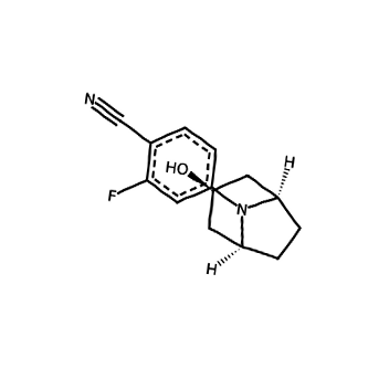 N#Cc1ccc(N2[C@@H]3CC[C@H]2C[C@@H](O)C3)cc1F